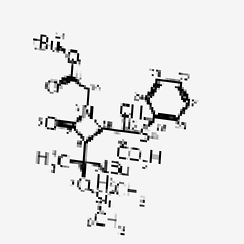 C[SiH](C)O[C@](C)([C@H]1C(=O)N(CC(=O)OC(C)(C)C)[C@@H]1[C@@](C)(Sc1ccccc1)C(=O)O)C(C)(C)C